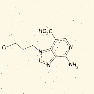 Nc1ncc(C(=O)O)c2c1ncn2CCCCl